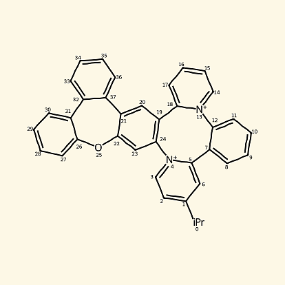 CC(C)c1cc[n+]2c(c1)c1ccccc1[n+]1ccccc1c1cc3c(cc12)oc1ccccc1c1ccccc31